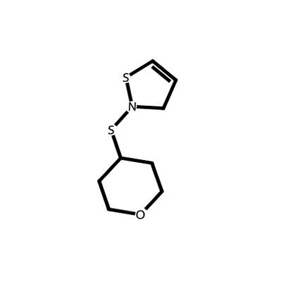 C1=CSN(SC2CCOCC2)C1